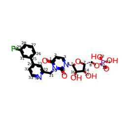 O=c1ccn([C@@H]2O[C@H](COP(=O)(O)O)C(O)C2O)c(=O)n1Cc1cc(-c2cccc(F)c2)ccn1